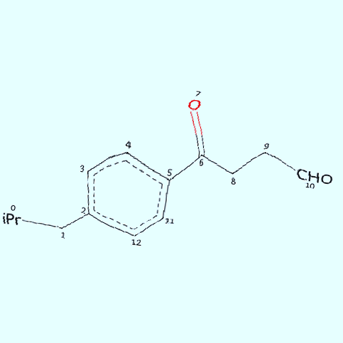 CC(C)Cc1ccc(C(=O)CCC=O)cc1